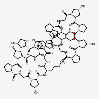 CSCC[C@H](NC(=O)[C@@H]1C[C@@H](O)CN1C(=O)CNC(=O)[C@@H]1CCCN1C(=O)[C@@H]1C[C@@H](O)CN1C(=O)CNC(=O)[C@@H]1CCCN1C(=O)[C@@H]1C[C@@H](O)CN1)C(=O)NCC(=O)N1C[C@H](O)C[C@H]1C(=O)N1CCC[C@H]1C(=O)NCC(=O)N1C[C@H](O)C[C@H]1C(=O)N1CCC[C@H]1C(=O)NCC(=O)N1C[C@H](O)C[C@H]1C(=O)N1CCC[C@H]1C(=O)NCC(=O)N1C[C@H](O)C[C@H]1C(=O)N1CCC[C@H]1C(=O)NCC(=O)O